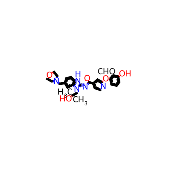 CC(C)(O)Cn1/c(=N/C(=O)c2ccnc(Oc3cccc(O)c3C=O)c2)[nH]c2ccc(CN3CCOCC3)cc21